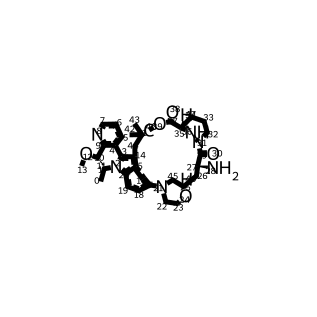 CCn1c(-c2cccnc2[C@H](C)OC)c2c3cc(ccc31)N1CCO[C@@H](C[C@H](N)C(=O)N3CCC[C@H](N3)C(=O)OCC(C)(C)C2)C1